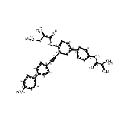 C=C(C)C(=O)Oc1ccc(-c2ccc(OC(=O)C(=C)COC)c(C#Cc3ccc(-c4ccc(CCC)cc4)cc3)c2)cc1